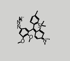 COc1cc(N=[N+]=[N-])cc(C2=C3C=CC(=[N+](C)C)C=C3[Si](C)(C)c3cc(C)ccc32)c1OC